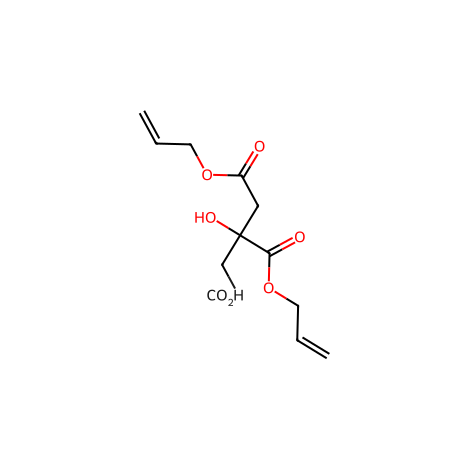 C=CCOC(=O)CC(O)(CC(=O)O)C(=O)OCC=C